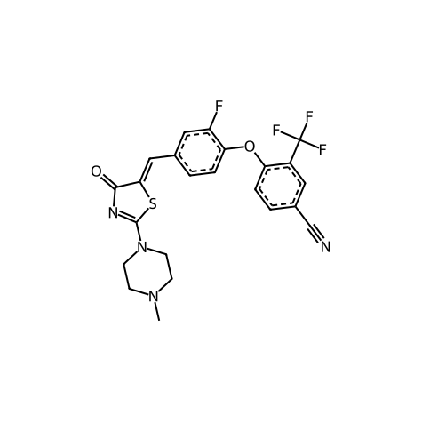 CN1CCN(C2=NC(=O)/C(=C/c3ccc(Oc4ccc(C#N)cc4C(F)(F)F)c(F)c3)S2)CC1